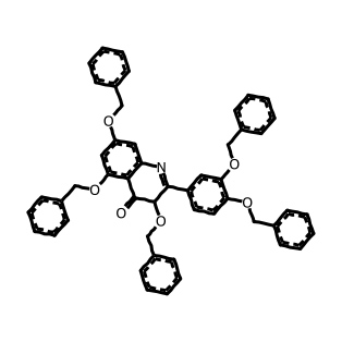 O=C1c2c(cc(OCc3ccccc3)cc2OCc2ccccc2)N=C(c2ccc(OCc3ccccc3)c(OCc3ccccc3)c2)C1OCc1ccccc1